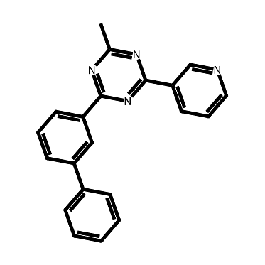 Cc1nc(-c2cccnc2)nc(-c2cccc(-c3ccccc3)c2)n1